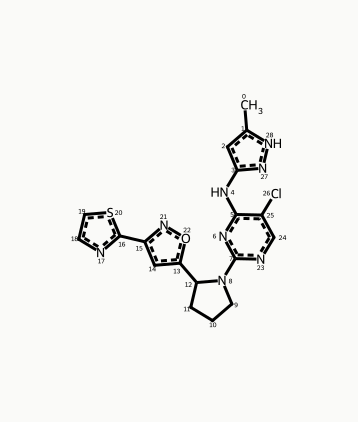 Cc1cc(Nc2nc(N3CCCC3c3cc(-c4nccs4)no3)ncc2Cl)n[nH]1